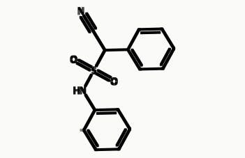 N#CC(c1ccccc1)S(=O)(=O)Nc1[c]cccc1